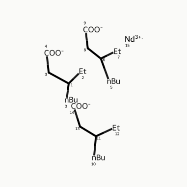 CCCCC(CC)CC(=O)[O-].CCCCC(CC)CC(=O)[O-].CCCCC(CC)CC(=O)[O-].[Nd+3]